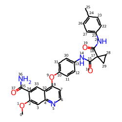 COc1cc2nccc(Oc3ccc(NC(=O)C4(C(=O)Nc5ccc(C)cc5)CC4)cc3)c2cc1C(N)=O